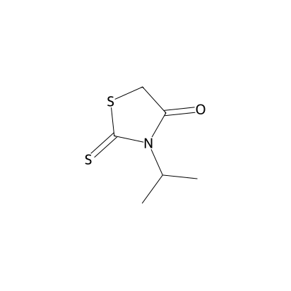 CC(C)N1C(=O)CSC1=S